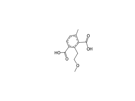 COCCc1c(C(=O)O)ccc(C)c1C(=O)O